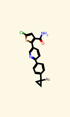 CC(=O)C1(c2ccc(-c3ccc(-c4sc(Cl)cc4C(N)=O)cn3)cc2)CC1